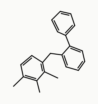 Cc1ccc(Cc2ccccc2-c2ccccc2)c(C)c1C